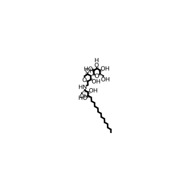 CCCCCCCCCCCCCC[C@@H](O)[C@@H](O)[C@H](CO)NCC1OC[C@@H](O)C([C@H]2O[C@H](CO)[C@H](O)[C@H](O)[C@H]2O)[C@@H]1O